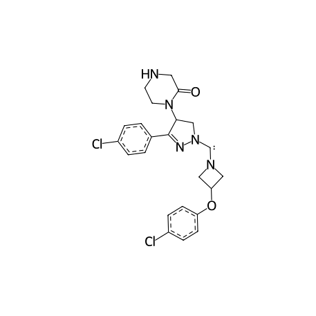 O=C1CNCCN1C1CN([C]N2CC(Oc3ccc(Cl)cc3)C2)N=C1c1ccc(Cl)cc1